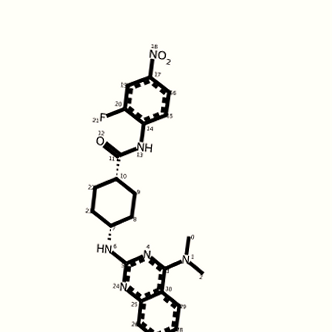 CN(C)c1nc(N[C@H]2CC[C@@H](C(=O)Nc3ccc([N+](=O)[O-])cc3F)CC2)nc2ccccc12